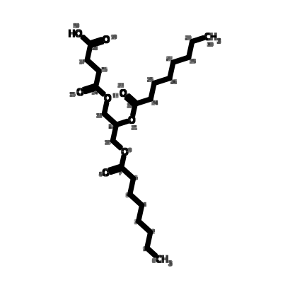 CCCCCCCC(=O)OCC(COC(=O)CCC(=O)O)OC(=O)CCCCCCC